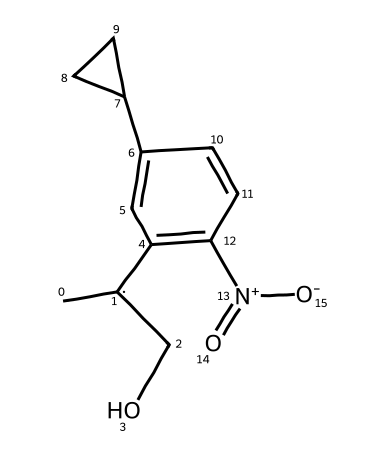 C[C](CO)c1cc(C2CC2)ccc1[N+](=O)[O-]